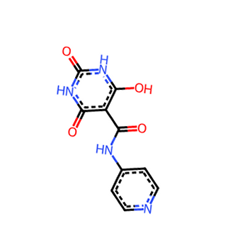 O=C(Nc1ccncc1)c1c(O)[nH]c(=O)[nH]c1=O